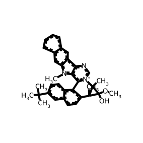 COC1(O)C2(C)c3ccc4cc(C(C)(C)C)ccc4c3-c3c4c(nc[n+]3C12C)c1cc2ccccc2cc1n4C